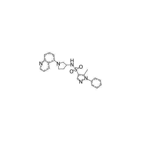 Cc1c(S(=O)(=O)NC2CCN(c3cccc4ncccc34)C2)cnn1-c1ccccc1